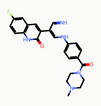 CN1CCN(C(=O)c2ccc(N/C=C(\C=N)c3cc4cc(F)ccc4[nH]c3=O)cc2)CC1